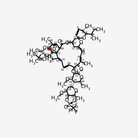 CC[C@@H](C)[C@H]1O[C@]2(C=C[C@@H]1C)C[C@@H]1C[C@@H](C/C=C(\C)[C@@H](O[C@H]3C[C@H](OC)C([C@H]4C[C@H](OC)[C@H](OS(=O)(=O)C(F)(F)F)[C@H](C)O4)[C@H](C)O3)[C@@H](C)/C=C/C=C3\CO[C@@H]4[C@H](O[Si](C)(C)C(C)(C)C)C(C)=C[C@@H](C(=O)O1)[C@]34O)O2